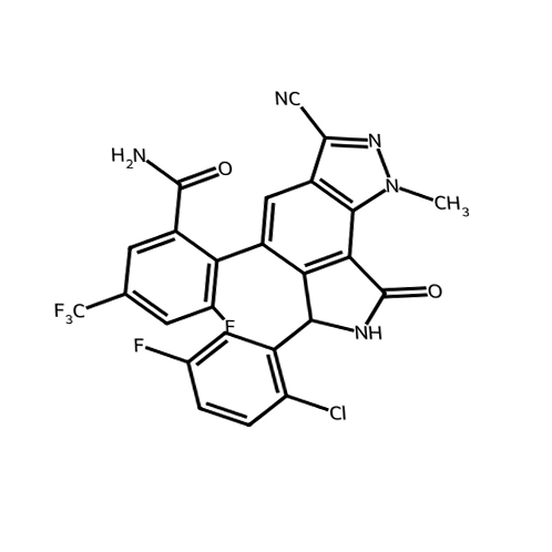 Cn1nc(C#N)c2cc(-c3c(F)cc(C(F)(F)F)cc3C(N)=O)c3c(c21)C(=O)NC3c1cc(F)ccc1Cl